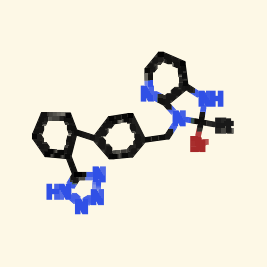 CCC1(Br)Nc2cccnc2N1Cc1ccc(-c2ccccc2-c2nnn[nH]2)cc1